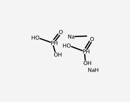 O=[PH](O)O.O=[PH](O)O.[CH3][Na].[NaH]